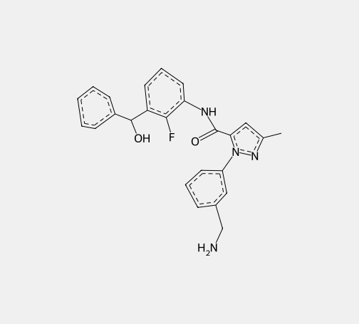 Cc1cc(C(=O)Nc2cccc(C(O)c3ccccc3)c2F)n(-c2cccc(CN)c2)n1